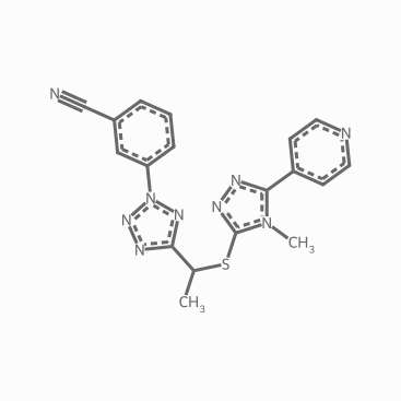 CC(Sc1nnc(-c2ccncc2)n1C)c1nnn(-c2cccc(C#N)c2)n1